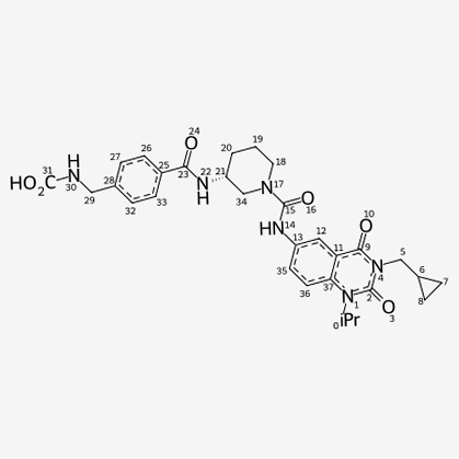 CC(C)n1c(=O)n(CC2CC2)c(=O)c2cc(NC(=O)N3CCC[C@@H](NC(=O)c4ccc(CNC(=O)O)cc4)C3)ccc21